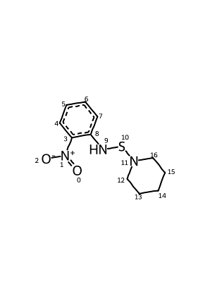 O=[N+]([O-])c1ccccc1NSN1CCCCC1